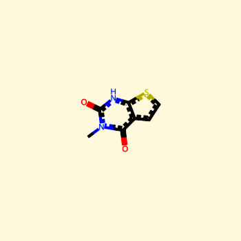 Cn1c(=O)[nH]c2sccc2c1=O